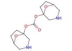 O=C(OC12CCC(CNC1)O2)OC12CCC(CNC1)O2